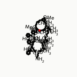 COc1cc2cc(c1Cl)N(C)C(=O)C[C@H](OC(=O)[C@H](C)N(C)C(=O)CCSSC(C)(C)[C@H](NC(=O)[C@@H]1CSSC[C@H](NC(=O)[C@@H](Cc3ccccc3)NCc3ccccc3)C(=O)N[C@@H](Cc3ccc(O)cc3)C(=O)N[C@H](Cc3c[nH]c4ccccc34)C(=O)N[C@@H](CCCCN)C(=O)N[C@@H]([C@@H](C)O)C(=O)N1)C(N)=O)[C@]1(C)OC1[C@H](C)[C@@H]1C[C@@](O)(NC(=O)O1)[C@H](OC)/C=C/C=C(\C)C2